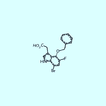 O=C(O)Cc1c[nH]c2c(Br)cc(F)c(OCc3ccccc3)c12